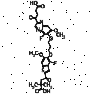 COc1cc2sc(C(=O)CC(C)(C)C(=O)O)cc2c(F)c1OCCCOc1c(OC)cc2nc(C(=O)CCC(=O)O)cnc2c1F